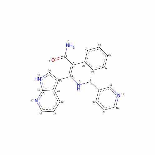 NC(=O)C(=C(NCc1cccnc1)c1c[nH]c2ncccc12)c1ccccc1